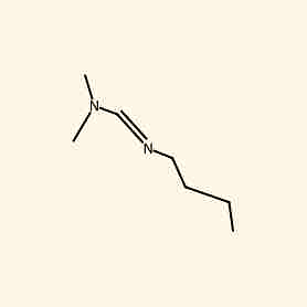 CCCC/N=C/N(C)C